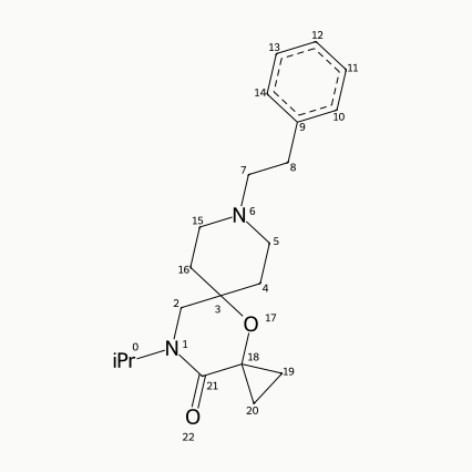 CC(C)N1CC2(CCN(CCc3ccccc3)CC2)OC2(CC2)C1=O